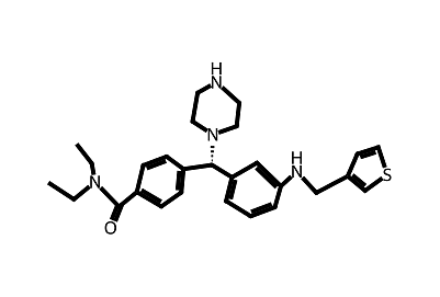 CCN(CC)C(=O)c1ccc([C@@H](c2cccc(NCc3ccsc3)c2)N2CCNCC2)cc1